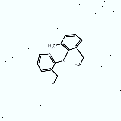 Cc1cccc(CN)c1Sc1ncccc1CO